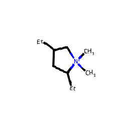 CCC1CC(CC)[N+](C)(C)C1